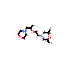 CC(CN1CCOCC1)OCCN1CC(C)OC(C)C1